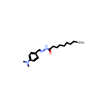 CCCCCCCCCCCCCCCCCC(=O)NN=Cc1ccc(N(C)C)cc1